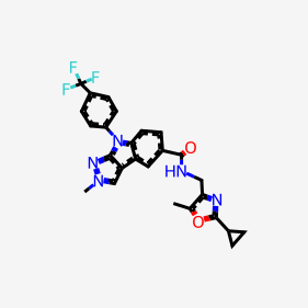 Cc1oc(C2CC2)nc1CNC(=O)c1ccc2c(c1)c1cn(C)nc1n2-c1ccc(C(F)(F)F)cc1